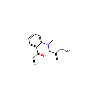 C=CC(=O)c1ccccc1N(C)CC(=C)CC(C)=O